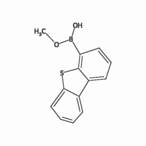 COB(O)c1cccc2c1sc1ccccc12